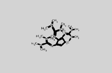 CN(C)C(=NC1=CCC(N=C(N(C)C)N(C)C)=C1N=C(N(C)C)N(C)C)N(C)C